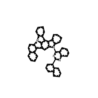 c1ccc2c(-c3nc(-n4c5ccccc5c5c6c7ccccc7n7c8ccc9ccccc9c8c(cc54)c67)c4ccccc4n3)cccc2c1